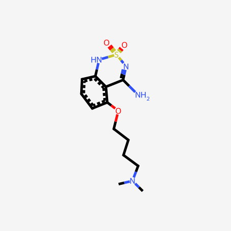 CN(C)CCCCOc1cccc2c1C(N)=NS(=O)(=O)N2